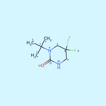 CC(C)(C)N1CC(F)(F)CNC1=O